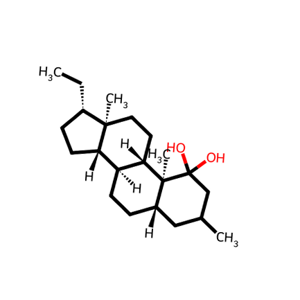 CC[C@H]1CC[C@H]2[C@@H]3CC[C@H]4CC(C)CC(O)(O)[C@]4(C)[C@H]3CC[C@]12C